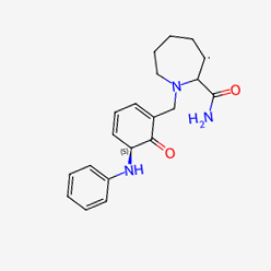 NC(=O)C1[CH]CCCCN1CC1=CC=C[C@H](Nc2ccccc2)C1=O